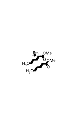 CC=CC=CC(=O)OC.CC=CC=CC(=O)OC.[C]=O.[Ru]